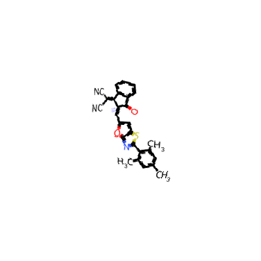 Cc1cc(C)c(-c2nc3oc(/C=C4\C(=O)c5ccccc5C4=C(C#N)C#N)cc3s2)c(C)c1